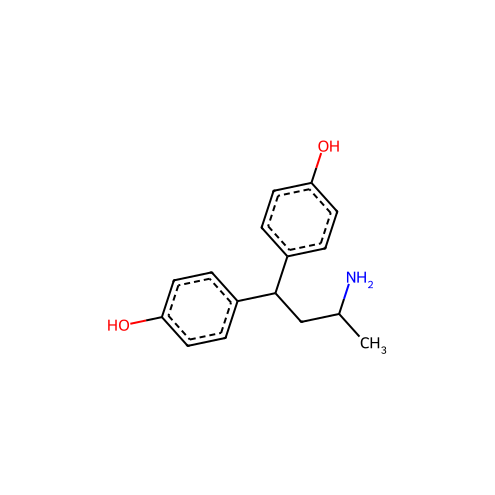 CC(N)CC(c1ccc(O)cc1)c1ccc(O)cc1